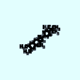 Cc1cc(Cc2nc(-c3cnc(C(C)(C)C(F)(F)F)cn3)cs2)c(C)cc1N